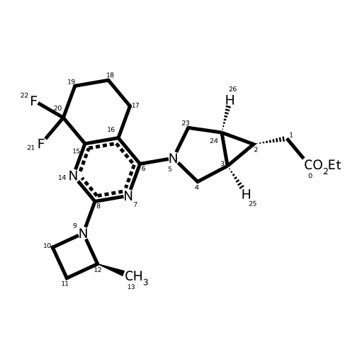 CCOC(=O)C[C@@H]1[C@H]2CN(c3nc(N4CC[C@@H]4C)nc4c3CCCC4(F)F)C[C@@H]12